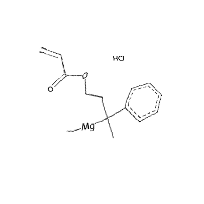 C=CC(=O)OCC[C](C)([Mg][CH3])c1ccccc1.Cl